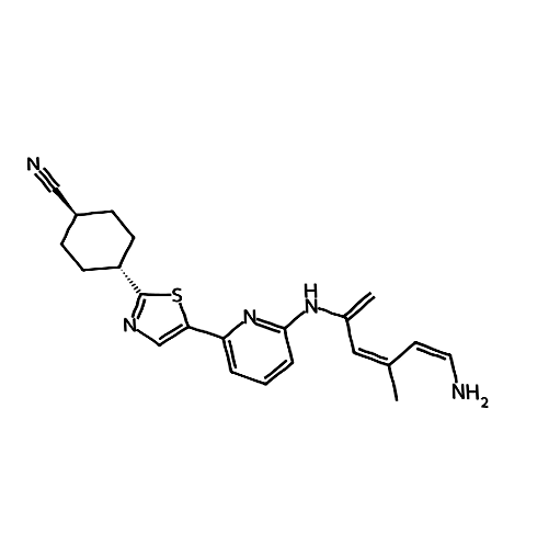 C=C(/C=C(C)\C=C/N)Nc1cccc(-c2cnc([C@H]3CC[C@H](C#N)CC3)s2)n1